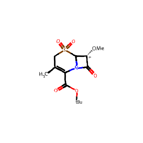 CO[C@@H]1C(=O)N2C(C(=O)OC(C)(C)C)=C(C)CS(=O)(=O)C12